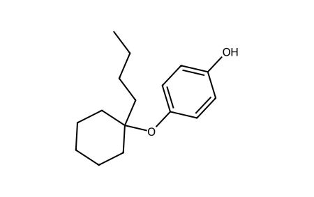 CCCCC1(Oc2ccc(O)cc2)CCCCC1